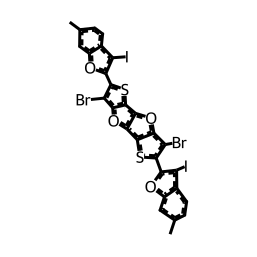 Cc1ccc2c(I)c(-c3sc4c(oc5c4oc4c(Br)c(-c6oc7cc(C)ccc7c6I)sc45)c3Br)oc2c1